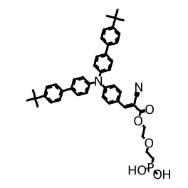 CC(C)(C)c1ccc(-c2ccc(N(c3ccc(/C=C(\C#N)C(=O)OCCOCCP(O)O)cc3)c3ccc(-c4ccc(C(C)(C)C)cc4)cc3)cc2)cc1